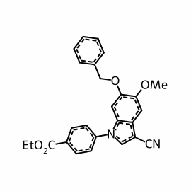 CCOC(=O)c1ccc(-n2cc(C#N)c3cc(OC)c(OCc4ccccc4)cc32)cc1